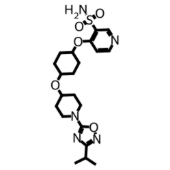 CC(C)c1noc(N2CCC(OC3CCC(Oc4ccncc4S(N)(=O)=O)CC3)CC2)n1